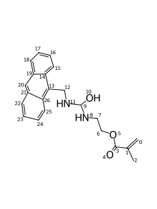 C=C(C)C(=O)OCCNC(O)NCc1c2ccccc2cc2ccccc12